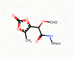 CCCCCNC(=O)C(O[C]=O)c1oc(=O)oc1C